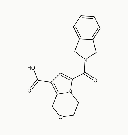 O=C(O)c1cc(C(=O)N2Cc3ccccc3C2)n2c1COCC2